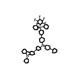 Fc1c(F)c(F)c([Si](c2ccccc2)(c2ccccc2)c2ccc(-c3ccc(N(c4ccc(-c5ccccc5)cc4)c4ccc(-c5ccc6c(c5)c5ccccc5n6-c5ccccc5)cc4)cc3)cc2)c(F)c1F